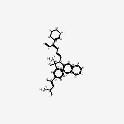 C=C/C(=C\C=CC(c1ccc2ccccc2c1)C(C)(N)c1cccc(/C(C)=C/C(C)N)c1)C1=CCCCC1